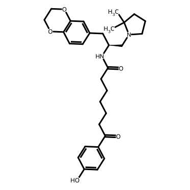 CC1(C)CCCN1C[C@H](Cc1ccc2c(c1)OCCO2)NC(=O)CCCCCC(=O)c1ccc(O)cc1